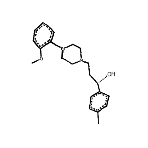 COc1ccccc1N1CCN(CC[C@H](O)c2ccc(C)cc2)CC1